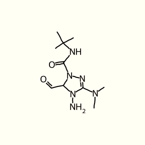 CN(C)C1=NN(C(=O)NC(C)(C)C)C(C=O)N1N